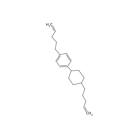 C=CCCCc1ccc(C2CCC(CCCC=C)CC2)cc1